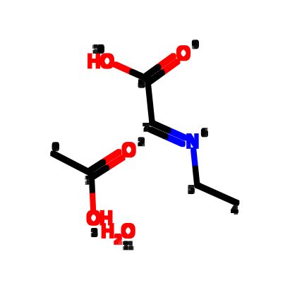 CC(=O)O.CCN=CC(=O)O.O